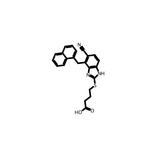 N#Cc1ccc2[nH]c(SCCCC(=O)O)nc2c1Cc1cccc2ccccc12